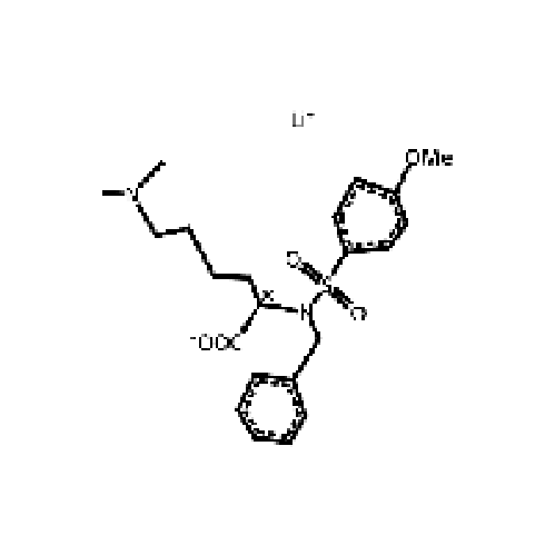 COc1ccc(S(=O)(=O)N(Cc2ccccc2)[C@H](CCCCN(C)C)C(=O)[O-])cc1.[Li+]